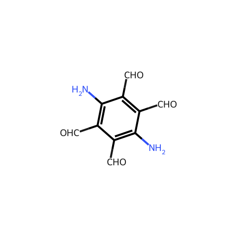 Nc1c(C=O)c(C=O)c(N)c(C=O)c1C=O